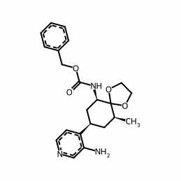 C[C@H]1C[C@@H](c2ccncc2N)C[C@@H](NC(=O)OCc2ccccc2)C12OCCO2